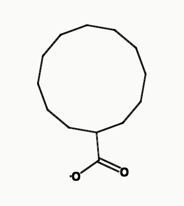 [O]C(=O)C1CCCCCCCCCCC1